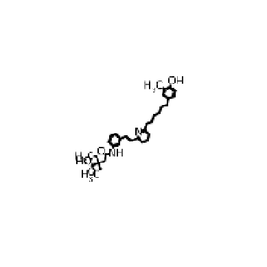 CCC(CC)(CC(=O)Nc1cccc(C=Cc2cccc(CCCCCCc3ccc(O)c(C)c3)n2)c1)C(=O)O